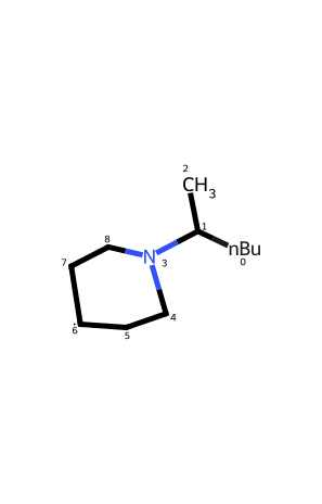 CCCCC(C)N1CC[CH]CC1